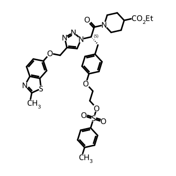 CCOC(=O)C1CCN(C(=O)[C@H](Cc2ccc(OCCOS(=O)(=O)c3ccc(C)cc3)cc2)n2cc(COc3ccc4nc(C)sc4c3)nn2)CC1